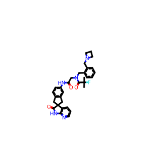 CC(C)(F)C(=O)N(CC(=O)Nc1ccc2c(c1)CC1(C2)C(=O)Nc2ncccc21)Cc1ccccc1CN1CCC1